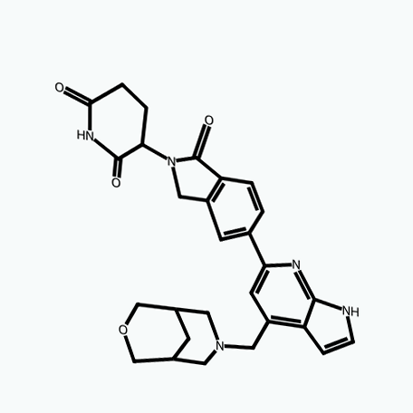 O=C1CCC(N2Cc3cc(-c4cc(CN5CC6COCC(C6)C5)c5cc[nH]c5n4)ccc3C2=O)C(=O)N1